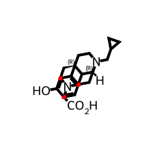 O=C(O)CN1CC[C@]23CCN(CC4CC4)[C@H](Cc4ccc(O)cc42)C3C1